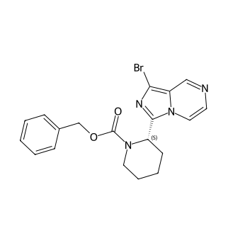 O=C(OCc1ccccc1)N1CCCC[C@H]1c1nc(Br)c2cnccn12